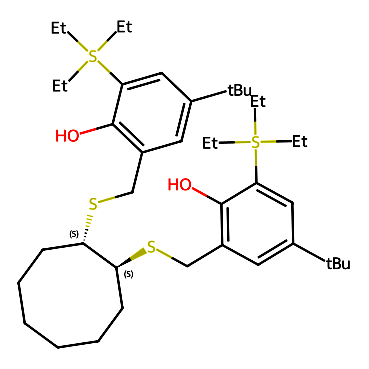 CCS(CC)(CC)c1cc(C(C)(C)C)cc(CS[C@H]2CCCCCC[C@@H]2SCc2cc(C(C)(C)C)cc(S(CC)(CC)CC)c2O)c1O